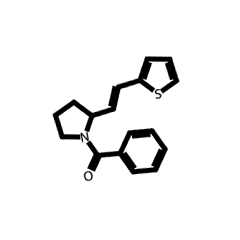 O=C(c1ccccc1)N1CCCC1C=Cc1cccs1